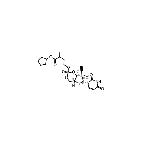 C#C[C@@]1(O)[C@@H]2OP(=O)(OCCC(C)C(=O)OC3CCCC3)OC[C@H]2O[C@H]1n1ccc(=O)[nH]c1=O